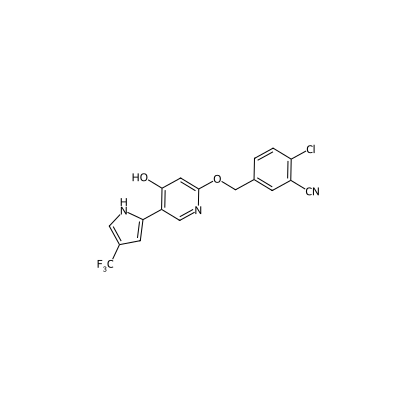 N#Cc1cc(COc2cc(O)c(-c3cc(C(F)(F)F)c[nH]3)cn2)ccc1Cl